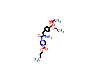 CCCCOC(=O)N1CCN(C(=O)[C@@H](N)Cc2ccc(C(OCC)(OCC)P=O)cc2)CC1